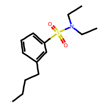 [CH2]CCCc1cccc(S(=O)(=O)N(CC)CC)c1